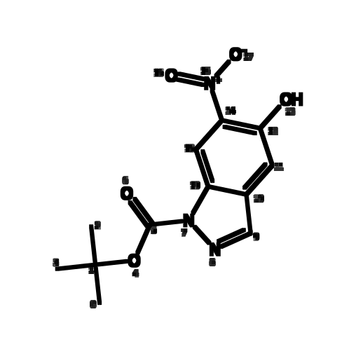 CC(C)(C)OC(=O)n1ncc2cc(O)c([N+](=O)[O-])cc21